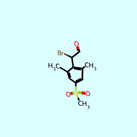 Cc1cc(S(C)(=O)=O)cc(C)c1C(Br)C=O